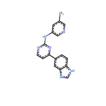 FC(F)(F)c1cncc(Nc2nccc(-c3ccc4[nH]cnc4c3)n2)c1